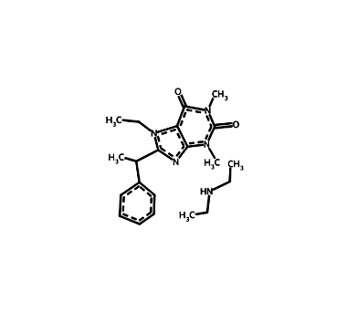 CCNCC.CCn1c(C(C)c2ccccc2)nc2c1c(=O)n(C)c(=O)n2C